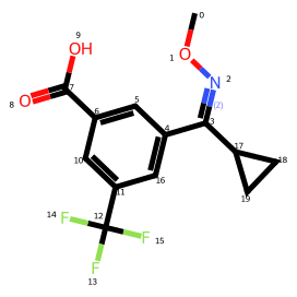 CO/N=C(\c1cc(C(=O)O)cc(C(F)(F)F)c1)C1CC1